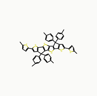 Cc1ccc(C2(c3ccc(C)cc3)c3cc(-c4ccc(C)s4)sc3-c3sc4c5c(sc4c32)-c2sc(-c3ccc(C)s3)cc2C5(c2ccc(C)cc2)c2ccc(C)cc2)cc1